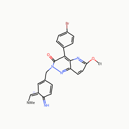 CCOc1ccc2nn(CC3=C/C(=C/NC)C(=N)C=C3)c(=O)c(-c3ccc(Br)cc3)c2n1